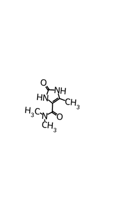 Cc1[nH]c(=O)[nH]c1C(=O)N(C)C